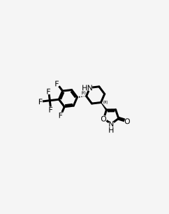 O=c1cc([C@@H]2CCN[C@@H](c3cc(F)c(C(F)(F)F)c(F)c3)C2)o[nH]1